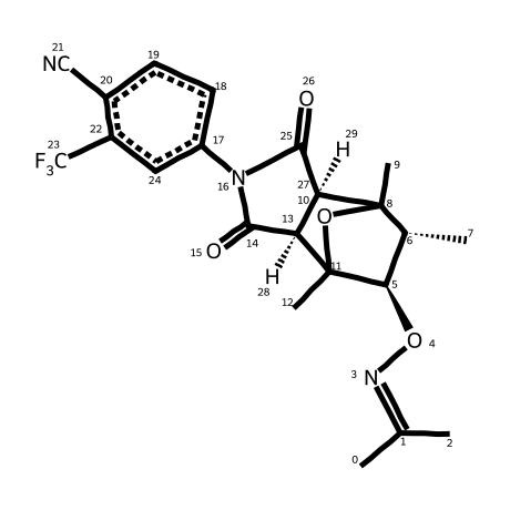 CC(C)=NO[C@@H]1[C@@H](C)C2(C)OC1(C)[C@H]1C(=O)N(c3ccc(C#N)c(C(F)(F)F)c3)C(=O)[C@H]12